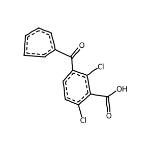 O=C(c1ccccc1)c1ccc(Cl)c(C(=O)O)c1Cl